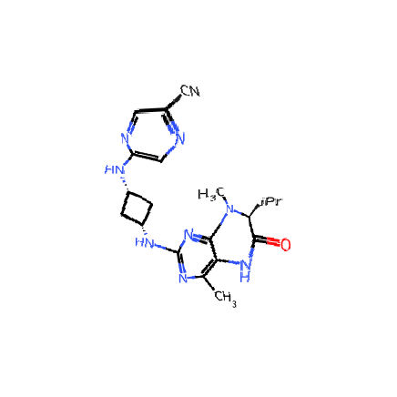 Cc1nc(N[C@H]2C[C@@H](Nc3cnc(C#N)cn3)C2)nc2c1NC(=O)[C@H](C(C)C)N2C